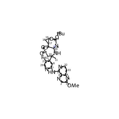 COc1cnc2c(Nc3cc([C@]4(C)CS(=O)(=O)[C@@H](C5CC5)/C(=N\C(=O)OC(C)(C)C)N4)c(F)cn3)nccc2n1